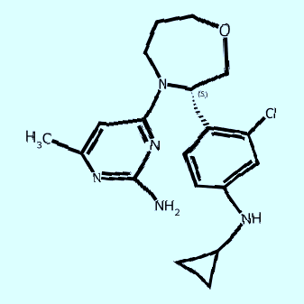 Cc1cc(N2CCCOC[C@@H]2c2ccc(NC3CC3)cc2Cl)nc(N)n1